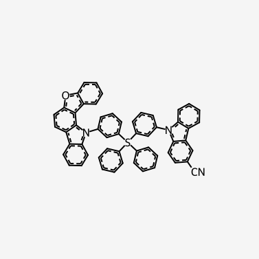 N#Cc1ccc2c(c1)c1ccccc1n2-c1cccc(S(c2ccccc2)(c2ccccc2)c2cccc(-n3c4ccccc4c4ccc5oc6ccccc6c5c43)c2)c1